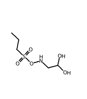 CCCS(=O)(=O)ONCC(O)O